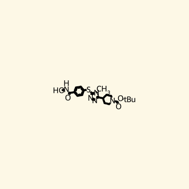 Cn1c(Sc2ccc(C(=O)NO)cc2)nnc1C1CCN(C(=O)OC(C)(C)C)CC1